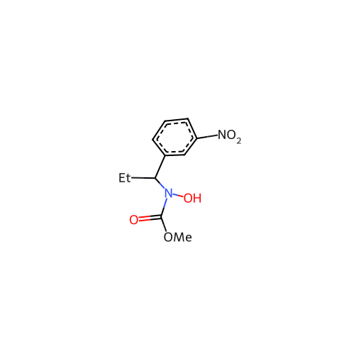 CCC(c1cccc([N+](=O)[O-])c1)N(O)C(=O)OC